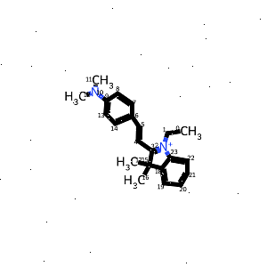 CC[N+]1=C(C=Cc2ccc(N(C)C)cc2)C(C)(C)c2ccccc21